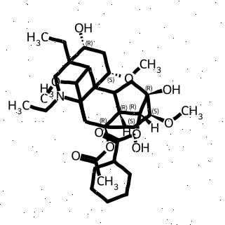 CCN1CC2(CC)C3C(OC)C4C1C3(C1C[C@@]3(O)[C@H](OC(=O)C5CCCCC5)[C@@H]1[C@]4(OC(C)=O)[C@@H](O)[C@@H]3OC)[C@@H](OC)C[C@H]2O